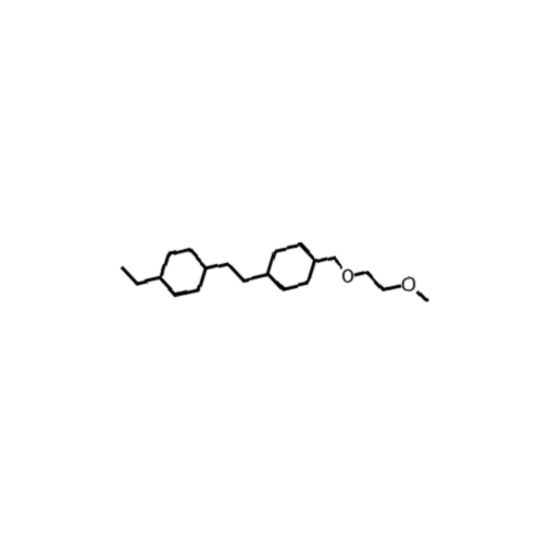 CCC1CCC(CCC2CCC(COCCOC)CC2)CC1